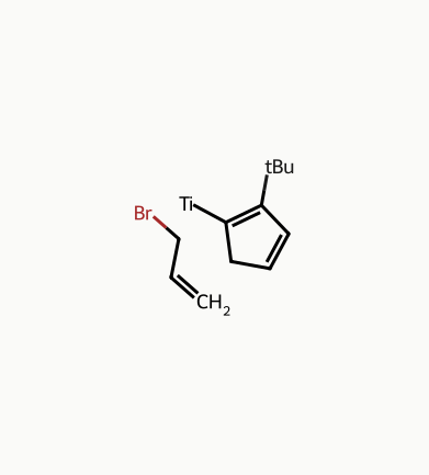 C=CCBr.CC(C)(C)C1=[C]([Ti])CC=C1